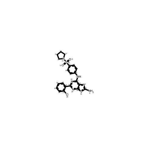 Nc1nc2c(Nc3ccc(S(=O)(=O)N4CCCC4)cc3)nc(-c3ccccc3Cl)nc2s1